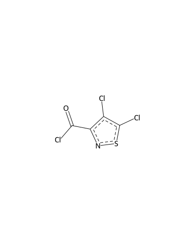 O=C(Cl)c1nsc(Cl)c1Cl